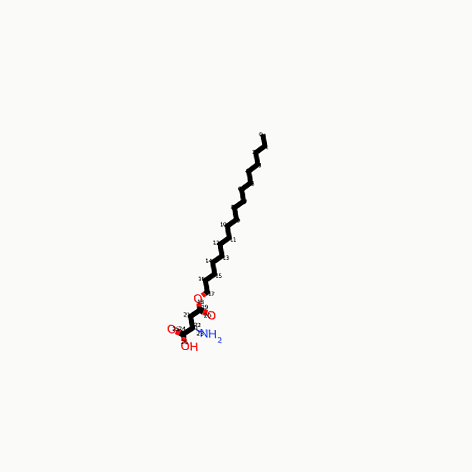 CCCCCCCCCCCCCCCCCCOC(=O)C[C@H](N)C(=O)O